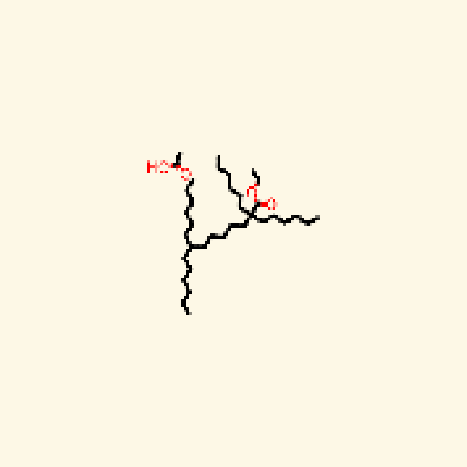 CC(=O)O.CCCCCCC(CCCCCC)CCCCCC(CCCCCC)(CCCCCC)C(=O)OCC